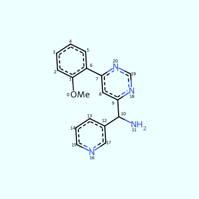 COc1ccccc1-c1cc(C(N)c2cccnc2)ncn1